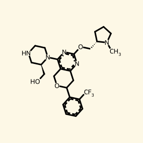 CN1CCC[C@H]1COc1nc2c(c(N3CCNC[C@@H]3CO)n1)COC(c1ccccc1C(F)(F)F)C2